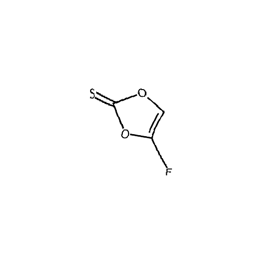 Fc1coc(=S)o1